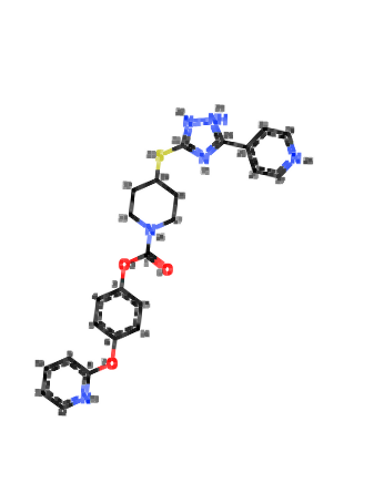 O=C(Oc1ccc(Oc2ccccn2)cc1)N1CCC(Sc2n[nH]c(-c3ccncc3)n2)CC1